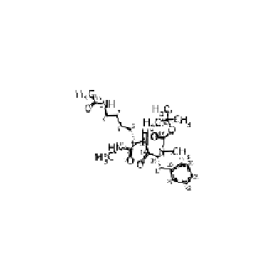 CNC(=O)[C@H](CCCCNC(C)=O)NC(=O)[C@@H](Cc1ccccc1)N(C)C(=O)OC(C)(C)C